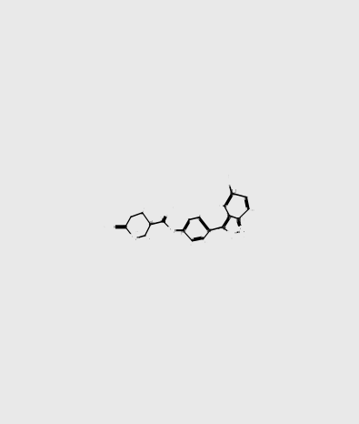 O=C1CCC(C(=O)Nc2ccc(-c3onc4ccc(C(=O)O)cc34)cc2)CN1